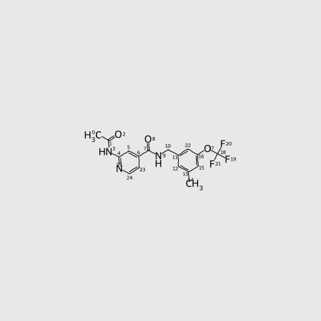 CC(=O)Nc1cc(C(=O)NCc2cc(C)cc(OC(F)(F)F)c2)ccn1